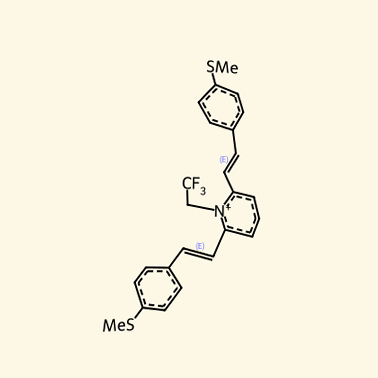 CSc1ccc(/C=C/c2cccc(/C=C/c3ccc(SC)cc3)[n+]2CC(F)(F)F)cc1